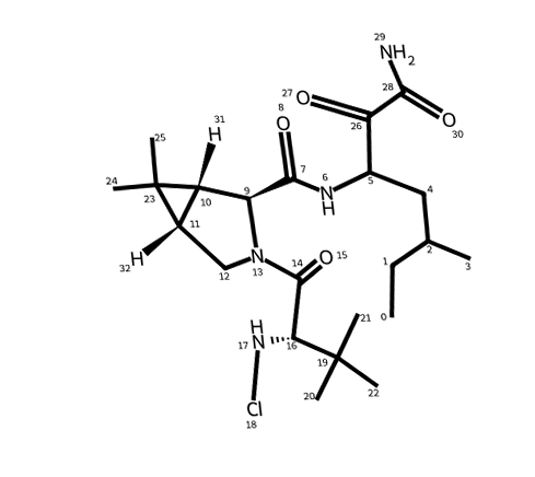 CCC(C)CC(NC(=O)[C@@H]1[C@@H]2[C@H](CN1C(=O)[C@@H](NCl)C(C)(C)C)C2(C)C)C(=O)C(N)=O